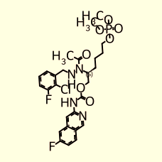 COP(=O)(OC)OCCCC[C@@H](COC(=O)Nc1cc2cc(F)ccc2cn1)N(NCc1cccc(F)c1Cl)C(C)=O